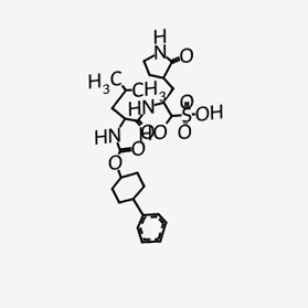 CC(C)CC(NC(=O)OC1CCC(c2ccccc2)CC1)C(=O)N[C@@H](CC1CCNC1=O)C(O)S(=O)(=O)O